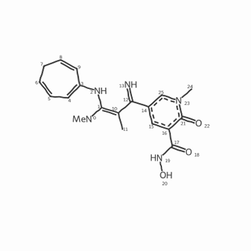 CN/C(NC1=CC=CCC=C1)=C(\C)C(=N)c1cc(C(=O)NO)c(=O)n(C)c1